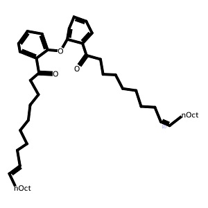 CCCCCCCCC=CCCCCCCCC(=O)c1ccccc1Oc1ccccc1C(=O)CCCCCCC/C=C\CCCCCCCC